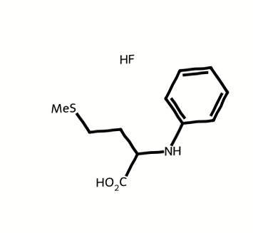 CSCCC(Nc1ccccc1)C(=O)O.F